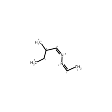 C/C=N\N=C/C(C)CC